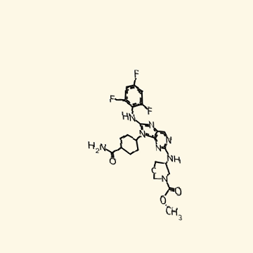 COC(=O)N1CCC[C@@H](Nc2ncc3nc(Nc4c(F)cc(F)cc4F)n(C4CCC(C(N)=O)CC4)c3n2)C1